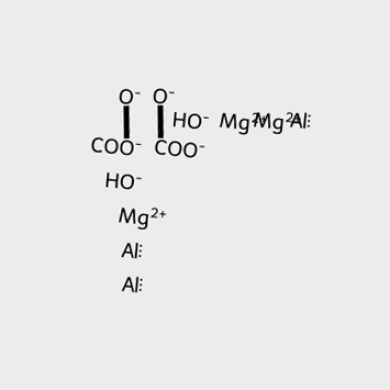 O=C([O-])[O-].O=C([O-])[O-].[Al].[Al].[Al].[Mg+2].[Mg+2].[Mg+2].[OH-].[OH-]